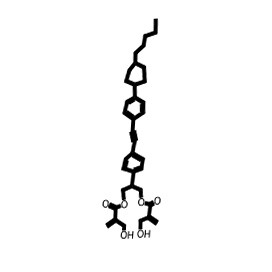 C=C(CO)C(=O)OCC(COC(=O)C(=C)CO)c1ccc(C#Cc2ccc(C3CCC(CCCCC)CC3)cc2)cc1